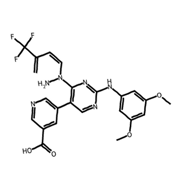 C=C(/C=C\N(N)c1nc(Nc2cc(OC)cc(OC)c2)ncc1-c1cncc(C(=O)O)c1)C(F)(F)F